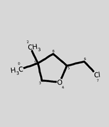 CC1(C)COC(CCl)C1